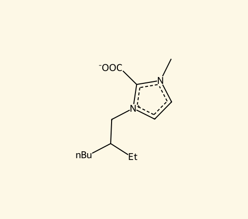 CCCCC(CC)C[n+]1ccn(C)c1C(=O)[O-]